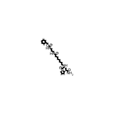 NC(=O)CC[C@H](NCCCCCCCC(=O)NCCCNC(=O)OCc1ccccc1)C(=O)N1CCCC1